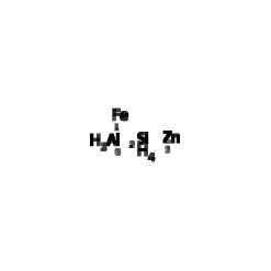 [AlH3].[Fe].[SiH4].[Zn]